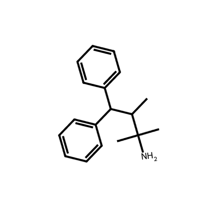 CC(C(c1ccccc1)c1ccccc1)C(C)(C)N